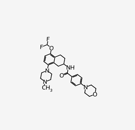 CN1CCN(c2ccc(OC(F)F)c3c2CC(NC(=O)c2ccc(N4CCOCC4)cc2)CC3)CC1